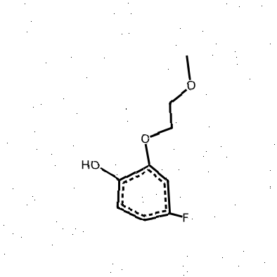 COCCOc1cc(F)ccc1O